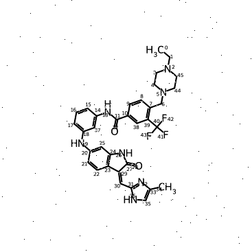 CCN1CCN(Cc2ccc(C(=O)Nc3cccc(Nc4ccc5c(c4)NC(=O)/C5=C\c4nc(C)c[nH]4)c3)cc2C(F)(F)F)CC1